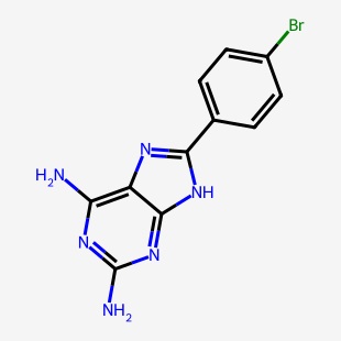 Nc1nc(N)c2nc(-c3ccc(Br)cc3)[nH]c2n1